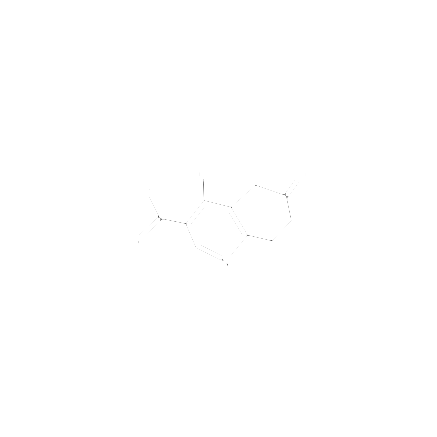 O=C1CCc2ncc(C(=O)O)c(O)c2C1